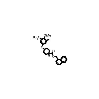 COc1c(C)cc(OC2CCC(C)(C(=O)OCc3cccc4ccccc34)CC2)cc1C(=O)O